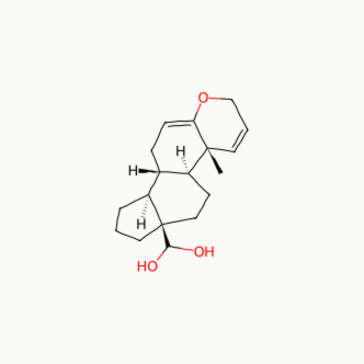 C[C@]12C=CCOC1=CC[C@H]1[C@@H]3CCC[C@@]3(C(O)O)CC[C@@H]12